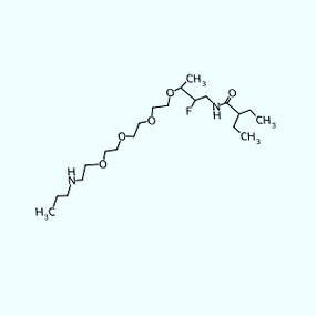 CCCNCCOCCOCCOCCOC(C)C(F)CNC(=O)C(CC)CC